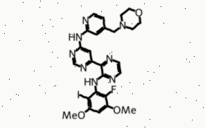 COc1cc(OC)c(I)c(Nc2nccnc2-c2cc(Nc3cc(CN4CCOCC4)ccn3)ncn2)c1F